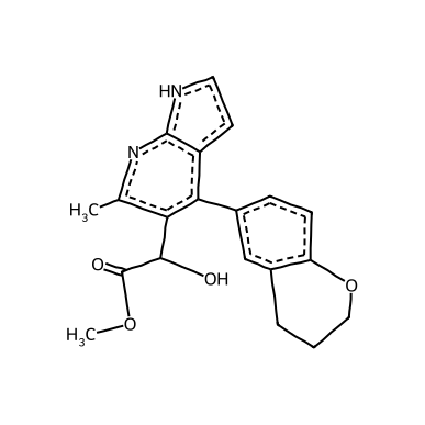 COC(=O)C(O)c1c(C)nc2[nH]ccc2c1-c1ccc2c(c1)CCCO2